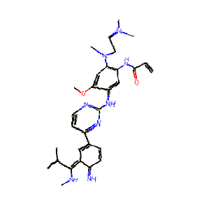 C=CC(=O)Nc1cc(Nc2nccc(C3=C/C(=C(/NC)C(C)C)C(=N)C=C3)n2)c(OC)cc1N(C)CCN(C)C